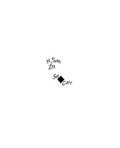 [GaH]=[Se].[SeH2].[Zn]